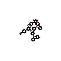 Cc1cc(C)c(-c2ccc3c(c2)B2c4c(cc(-c5ccc(C#N)cc5)cc4-n4c5ccc(-n6c7ccccc7c7ccccc76)cc5c5cc(-n6c7ccccc7c7ccccc76)cc2c54)O3)c(C)c1